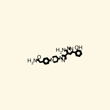 NC(=O)Cc1ccc(N2CCC(n3cc(-c4cc(-c5ccccc5O)nnc4N)cn3)CC2)cc1